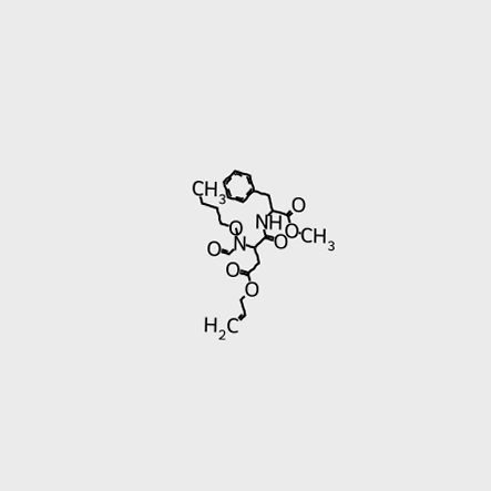 C=CCOC(=O)CC(C(=O)NC(Cc1ccccc1)C(=O)OC)N(C=O)OCCCC